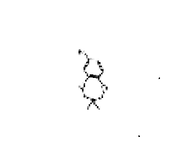 CC1(C)COc2ccc(Br)cc2OC1